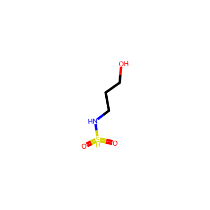 O=[SH](=O)NCCCO